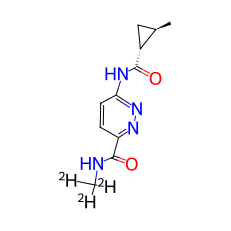 [2H]C([2H])([2H])NC(=O)c1ccc(NC(=O)[C@@H]2C[C@H]2C)nn1